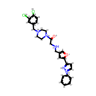 O=C(CNCc1coc(-c2ccn(-c3ccccc3)n2)c1)N1CCN(Cc2ccc(Cl)c(Cl)c2)CC1